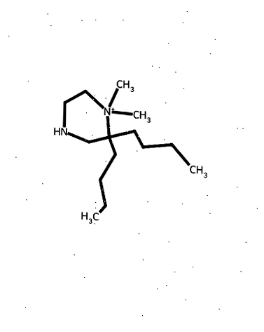 CCCCC1(CCCC)CNCC[N+]1(C)C